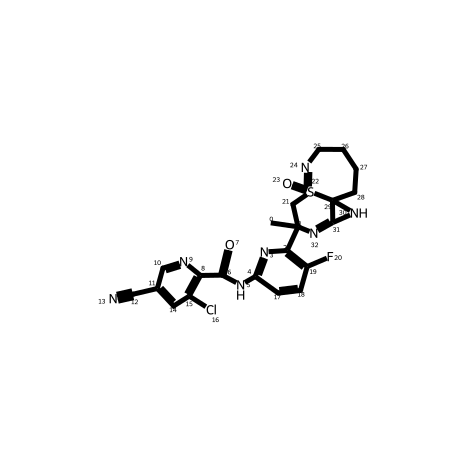 CC1(c2nc(NC(=O)c3ncc(C#N)cc3Cl)ccc2F)CS2(=O)=NCCCCC23NC3=N1